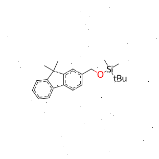 CC1(C)c2ccccc2-c2ccc(CO[Si](C)(C)C(C)(C)C)cc21